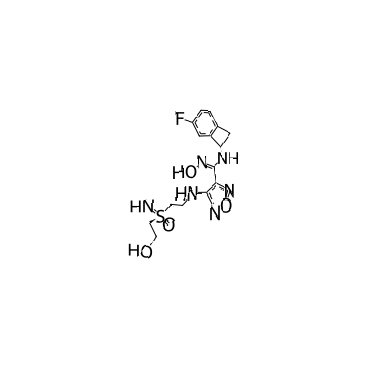 N=[S@](=O)(CCO)CCNc1nonc1C(=NO)NC1Cc2ccc(F)cc21